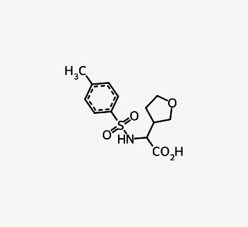 Cc1ccc(S(=O)(=O)NC(C(=O)O)C2CCOC2)cc1